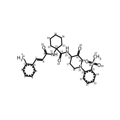 Cc1ccccc1C=CC(=O)NC1(C(=O)NC2CCN(c3ccccc3S(C)(=O)=O)CC2=O)CCCCC1